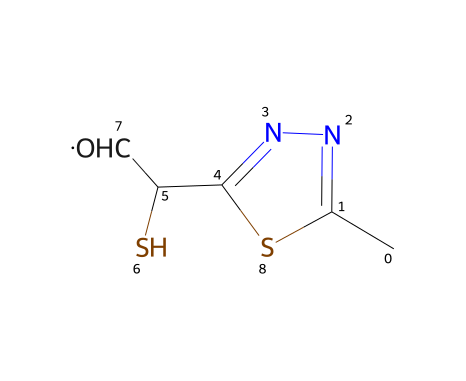 Cc1nnc(C(S)[C]=O)s1